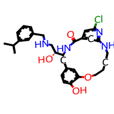 CC(C)c1cccc(CNC[C@@H](O)[C@@H]2Cc3ccc(O)c(c3)OCCCCNc3cc(cc(Cl)n3)C(=O)N2)c1